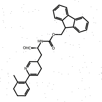 CC1=C(C2=CCC(C[C@@H](C=O)NC(=O)OCC3c4ccccc4-c4ccccc43)C=N2)C=CCC1